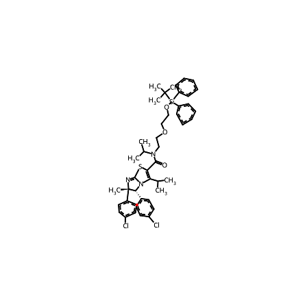 CC(C)C1=C(C(=O)N(CCOCCO[Si](c2ccccc2)(c2ccccc2)C(C)(C)C)C(C)C)SC2=N[C@@](C)(c3ccc(Cl)cc3)[C@@H](c3ccc(Cl)cc3)N21